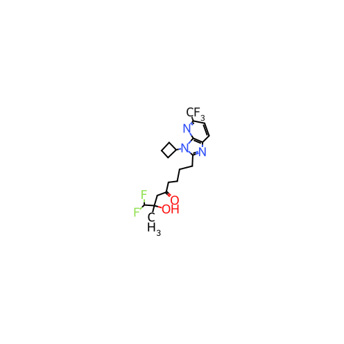 CC(O)(CC(=O)CCCCc1nc2ccc(C(F)(F)F)nc2n1C1CCC1)C(F)F